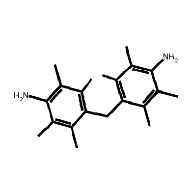 Cc1c(C)c(Cc2c(C)c(C)c(N)c(C)c2C)c(C)c(C)c1N